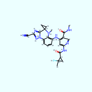 CNC(=O)c1cnc(NC(=O)C2CC2(C)F)cc1Nc1cccc2c1N(C)C1(CC1)c1nc(C#N)nn1-2